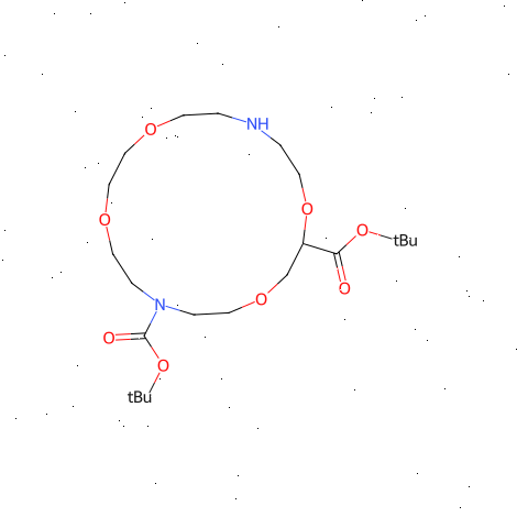 CC(C)(C)OC(=O)C1COCCN(C(=O)OC(C)(C)C)CCOCCOCCNCCO1